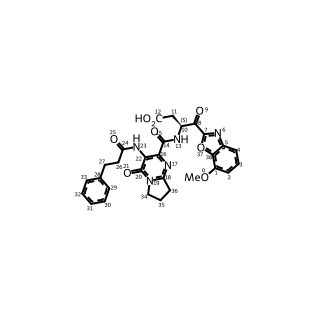 COc1cccc2nc(C(=O)[C@H](CC(=O)O)NC(=O)c3nc4n(c(=O)c3NC(=O)CCc3ccccc3)CCC4)oc12